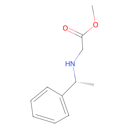 COC(=O)CN[C@H](C)c1ccccc1